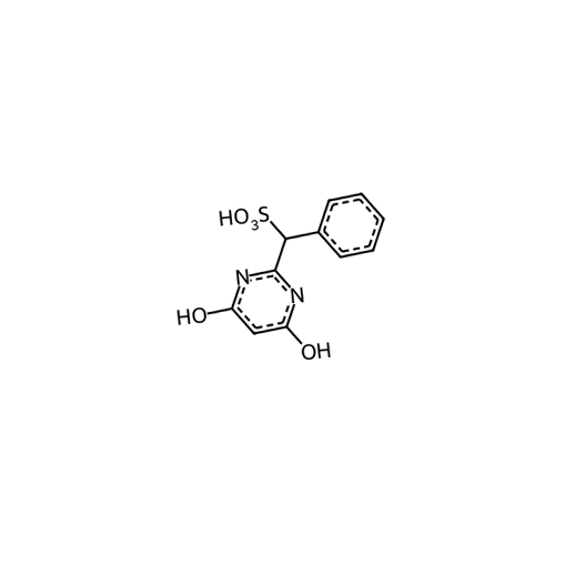 O=S(=O)(O)C(c1ccccc1)c1nc(O)cc(O)n1